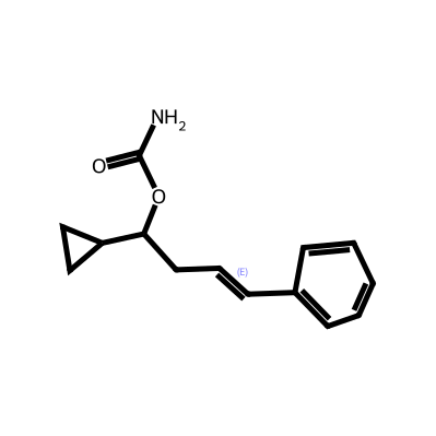 NC(=O)OC(C/C=C/c1ccccc1)C1CC1